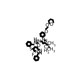 CSC(C)(C)c1cc(NC(=O)NCc2ccccc2Sc2ccc3nnc(-c4ccccc4F)n3c2)n(-c2cccc(OCCOC3CCCCO3)c2)n1